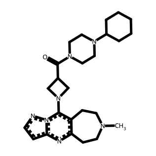 CN1CCc2nc3ccnn3c(N3CC(C(=O)N4CCN(C5CCCCC5)CC4)C3)c2CC1